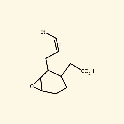 CC/C=C\CC1C(CC(=O)O)CCC2OC21